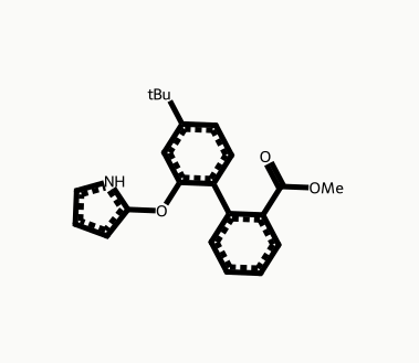 COC(=O)c1ccccc1-c1ccc(C(C)(C)C)cc1Oc1ccc[nH]1